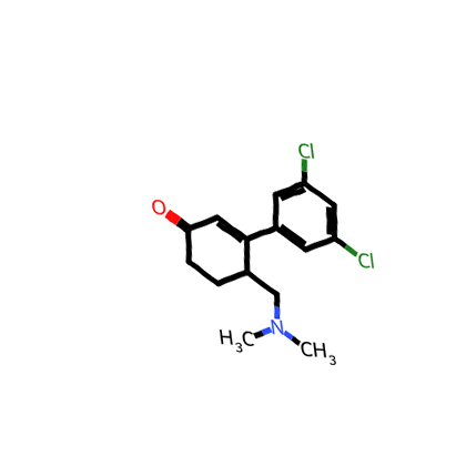 CN(C)CC1CCC(=O)C=C1c1cc(Cl)cc(Cl)c1